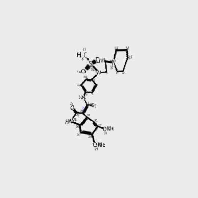 CC/C(Nc1ccc(N(CCN2CCCCC2)S(C)(=O)=O)cc1)=C1/C(=O)Nc2cc(OC)c(OC)cc21